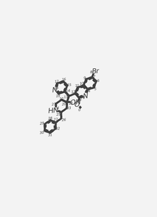 COc1nc2ccc(Br)cc2cc1C(c1cccnc1)C1(O)CCNC(Cc2ccccc2)C1